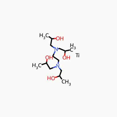 CC(O)CN(CCN(CC(C)O)CC(C)O)CC(C)O.[Ti]